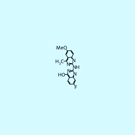 COc1ccc2nc(Nc3nc(O)c4ccc(F)cc4n3)nc(C)c2c1